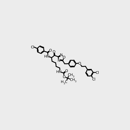 CC(C)(C)OC(=O)NCCCCC(NC(=O)c1ccc(Cl)cc1)C(=O)c1noc(Cc2ccc(OCCc3ccc(Cl)c(Cl)c3)cc2)n1